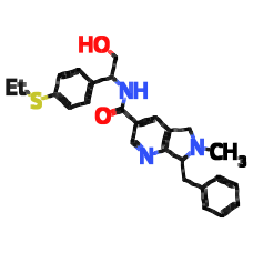 CCSc1ccc(C(CO)NC(=O)c2cnc3c(c2)CN(C)C3Cc2ccccc2)cc1